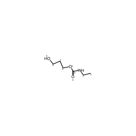 CCNC(=O)OCCCO